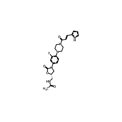 CC(=O)NC[C@H]1CN(c2ccc(N3CCN(C(=O)/C=C/c4ccc[nH]4)CC3)c(F)c2)C(=O)O1